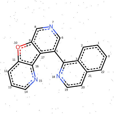 c1ccc2c(-c3cncc4oc5cccnc5c34)nccc2c1